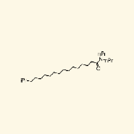 CCCN(CCC)C(=O)CCCCCCCCCCCCCCC(C)C